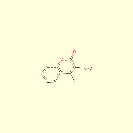 Cc1c(C=O)c(=O)oc2ccccc12